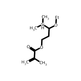 C=C(C)C(=O)OCCC(OCC)[SiH](C)C